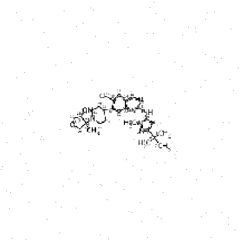 Cn1nc(C(C)(C)C)cc1Nc1ncc2cc(Cl)c(C3CCN([C@@]4(C)COC[C@H]4O)CC3)cc2n1